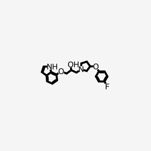 OC(COc1cccc2cc[nH]c12)CN1CCC(Oc2ccc(F)cc2)C1